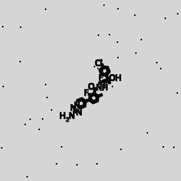 Cc1ccc(-c2ccn3nc(N)nc3c2)c(F)c1C(=O)NCC(F)(F)C(C)(O)c1ccc(Cl)cc1